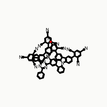 N#Cc1cc(C#N)c(-c2ccc3c(c2)c2cc(-c4c(C#N)cc(C#N)cc4C#N)ccc2n3-c2ccccc2-c2ccc(-n3c4ccc(-c5c(C#N)cc(C#N)cc5C#N)cc4c4cc(-c5c(C#N)cc(C#N)cc5C#N)ccc43)c(-c3nc(-c4ccccc4)nc(-c4ccccc4)n3)c2)c(C#N)c1